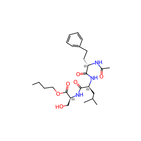 CCCCOC(=O)[C@H](CO)NC(=O)[C@H](CC(C)C)NC(=O)[C@H](CCc1ccccc1)NC(C)=O